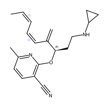 C=C(/C=C\C=C/C)[C@@H](CCNC1CC1)Oc1nc(C)ccc1C#N